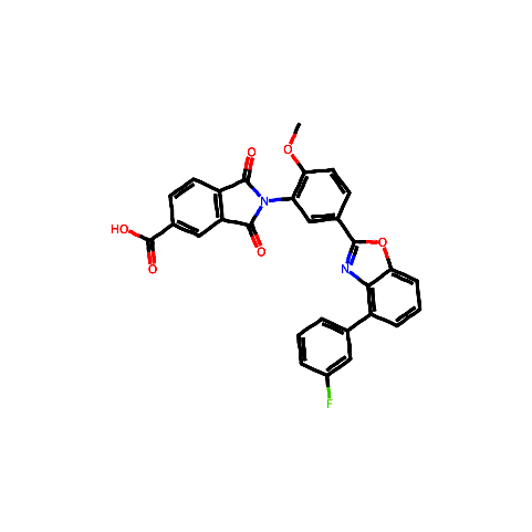 COc1ccc(-c2nc3c(-c4cccc(F)c4)cccc3o2)cc1N1C(=O)c2ccc(C(=O)O)cc2C1=O